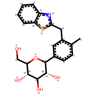 Cc1ccc(C2OC(CO)[C@@H](O)C(O)[C@H]2O)cc1Cc1nc2ccccc2s1